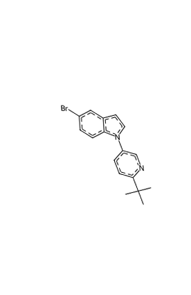 CC(C)(C)c1ccc(-n2ccc3cc(Br)ccc32)cn1